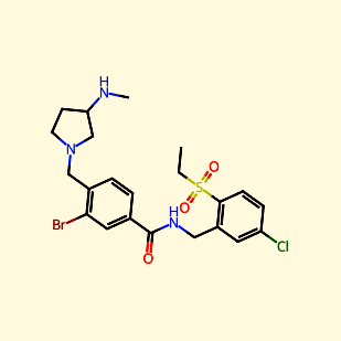 CCS(=O)(=O)c1ccc(Cl)cc1CNC(=O)c1ccc(CN2CCC(NC)C2)c(Br)c1